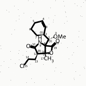 CO[C@@H]([C@@H]1C=CCCC1)C12NC(=O)[C@H](CCCl)[C@]1(C)OC2=O